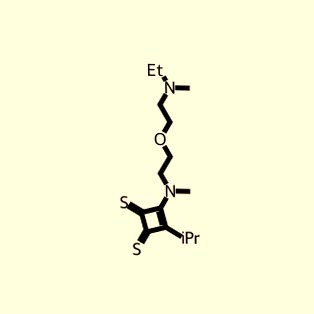 CCN(C)CCOCCN(C)c1c(C(C)C)c(=S)c1=S